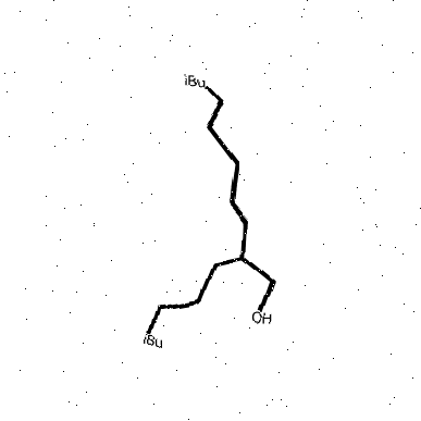 CCC(C)CCCCCC(CO)CCCC(C)CC